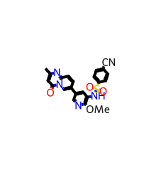 COc1ncc(-c2ccc3nc(C)cc(=O)n3c2)cc1NS(=O)(=O)c1ccc(C#N)cc1